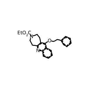 CCOC(=O)N1CCc2nc3ccccc3c(OCCc3ccccc3)c2CC1